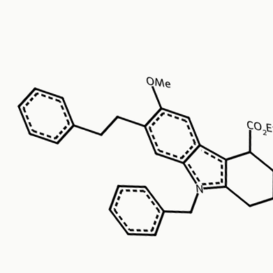 CCOC(=O)C1CCCc2c1c1cc(OC)c(CCc3ccccc3)cc1n2Cc1ccccc1